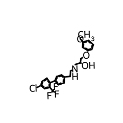 COc1cccc(OCC(O)CNCCc2ccc(-c3ccc(Cl)cc3C(F)(F)F)cc2)c1